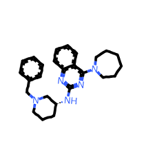 c1ccc(CN2CCC[C@@H](Nc3nc(N4CCCCCC4)c4ccccc4n3)C2)cc1